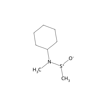 CN(C1CCCCC1)[S+](C)[O-]